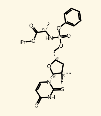 CC(C)OC(=O)[C@H](C)NP(=O)(OC[C@@H]1C[C@@](C)(F)[C@H](n2ccc(=O)[nH]c2=S)O1)Oc1ccccc1